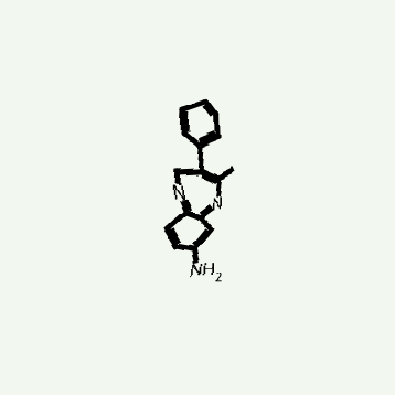 CC1=C(c2ccccc2)CN=c2ccc(N)cc2=N1